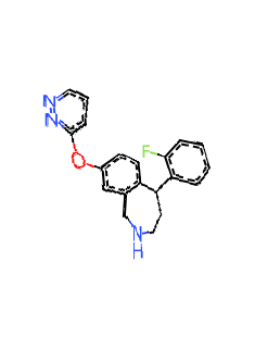 Fc1ccccc1C1CCNCc2cc(Oc3cccnn3)ccc21